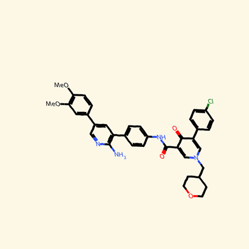 COc1ccc(-c2cnc(N)c(-c3ccc(NC(=O)c4cn(CC5CCOCC5)cc(-c5ccc(Cl)cc5)c4=O)cc3)c2)cc1OC